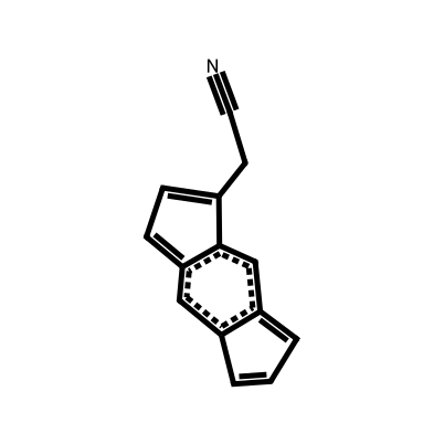 N#CCC1=CC=c2cc3c(cc21)=CC=C3